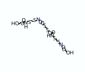 O=C(NCSCCSC/N=C\OOCSCCSCOC(=O)NCSCCSC/N=C/OOCCO)OCCO